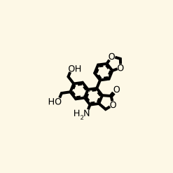 Nc1c2c(c(-c3ccc4c(c3)OCO4)c3cc(CO)c(CO)cc13)C(=O)OC2